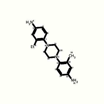 CCc1cc(N)ccc1N1CCN(c2ccc(N)cc2C)CC1